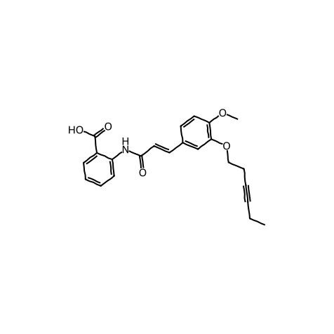 CCC#CCCOc1cc(/C=C/C(=O)Nc2ccccc2C(=O)O)ccc1OC